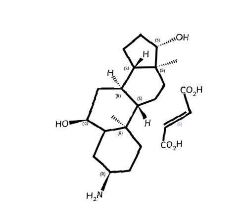 C[C@]12CC[C@H]3[C@@H](C[C@H](O)C4C[C@H](N)CC[C@@]43C)[C@@H]1CC[C@@H]2O.O=C(O)/C=C/C(=O)O